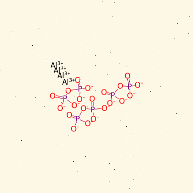 O=P([O-])([O-])OP(=O)([O-])[O-].O=P([O-])([O-])OP(=O)([O-])[O-].O=P([O-])([O-])OP(=O)([O-])[O-].[Al+3].[Al+3].[Al+3].[Al+3]